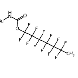 CCCCNC(=O)OC(F)(F)C(F)(F)C(F)(F)C(F)(F)C(F)(F)C(C)(F)F